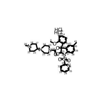 COc1ccccc1C1(OC(=O)N2CCN(C3CCN(C)CC3)CC2)C(=O)N(S(=O)(=O)c2ccccn2)c2ccc(C)cc21.Cl.Cl